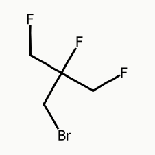 FCC(F)(CF)CBr